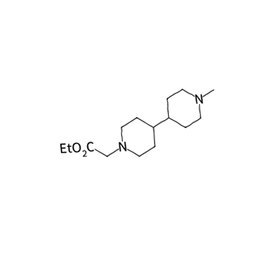 CCOC(=O)CN1CCC(C2CCN(C)CC2)CC1